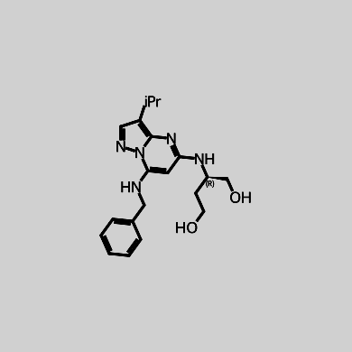 CC(C)c1cnn2c(NCc3ccccc3)cc(N[C@@H](CO)CCO)nc12